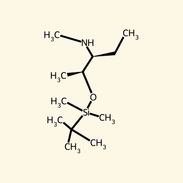 CC[C@H](NC)[C@H](C)O[Si](C)(C)C(C)(C)C